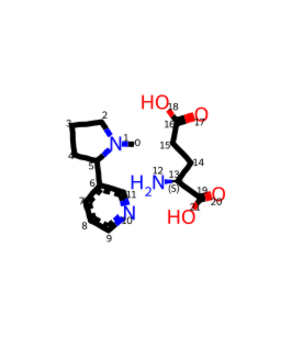 CN1CCCC1c1cccnc1.N[C@@H](CCC(=O)O)C(=O)O